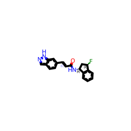 O=C(/C=C/c1ccc2cn[nH]c2c1)N[C@@H]1C[C@@H](F)c2ccccc21